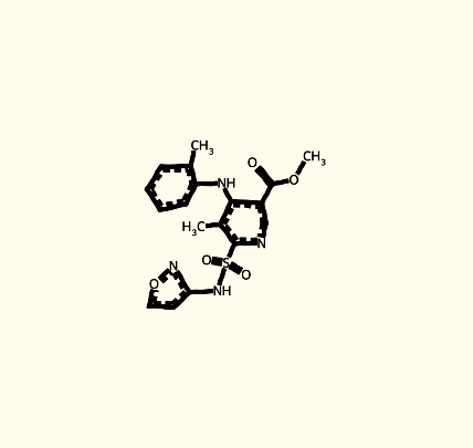 COC(=O)c1cnc(S(=O)(=O)Nc2ccon2)c(C)c1Nc1ccccc1C